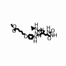 CCOC(=O)CCCCCOc1ccc(Nc2nc(NC3CC3)n3ncc(/C=C4\NC(=O)NC4=O)c3n2)cc1